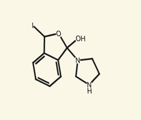 OC1(N2CCNC2)OC(I)c2ccccc21